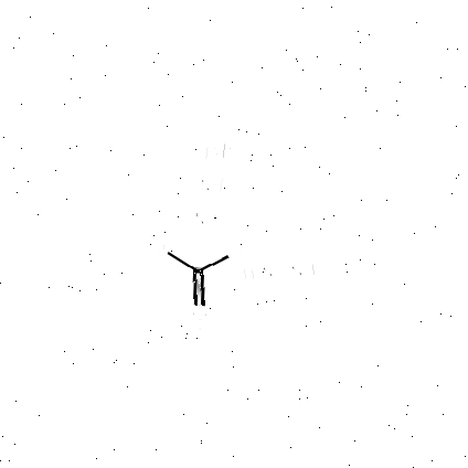 N.N.N.N.O=C([O-])[O-].[Pd+2]